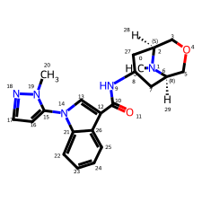 CN1[C@@H]2COC[C@H]1CC(NC(=O)c1cn(-c3ccnn3C)c3ccccc13)C2